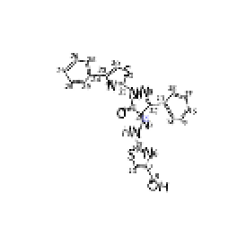 O=C1/C(=N\Nc2nc(CO)cs2)C(c2ccccc2)=NN1c1nc(-c2ccccc2)cs1